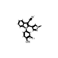 Cn1cc(-c2c(C#N)c3ccccc3n2-c2ccc(O)c(F)c2)cn1